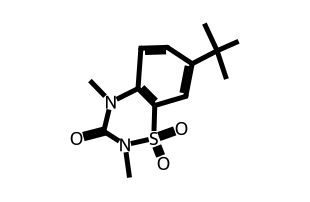 CN1C(=O)N(C)S(=O)(=O)c2cc(C(C)(C)C)ccc21